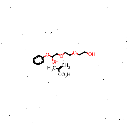 C=C(C)C(=O)O.OCCOCCOCC(O)Oc1ccccc1